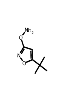 CC(C)(C)c1cc(ON)no1